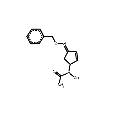 NC(=O)N(O)C1C=CC(=NOCc2ccccc2)C1